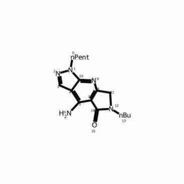 CCCCCn1ncc2c(N)c3c(nc21)CN(CCCC)C3=O